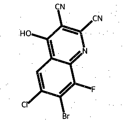 N#Cc1nc2c(F)c(Br)c(Cl)cc2c(O)c1C#N